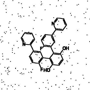 Oc1ccc(O)c(-c2cc(-c3ccccn3)ccc2F)c1-c1cc(-c2ccccn2)ccc1F